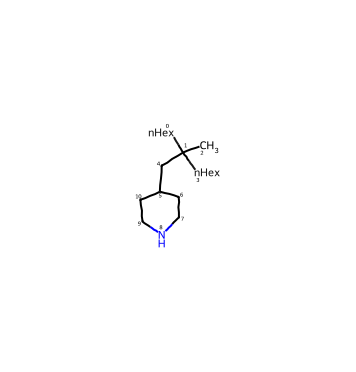 CCCCCCC(C)(CCCCCC)CC1CCNCC1